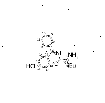 CCC(C)[C@H](N)C(=O)NC(c1ccccc1)c1ccccc1.Cl